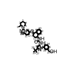 CC1CCCCN1c1nnc2ccc(O[C@@H]3CC[C@H](NC(=O)Nc4cc(C(C)(C)C)nn4-c4cccc(CO)c4)c4ccccc43)cn12